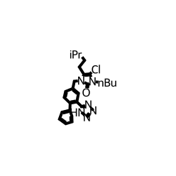 CCCCn1c(Cl)c(CCC(C)C)n(Cc2ccc(-c3ccccc3)c(-c3nnn[nH]3)c2)c1=O